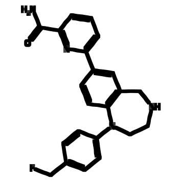 NC(=O)c1cccc(-c2ccc3c(c2)CNCCN3c2ccc(CF)cc2)n1